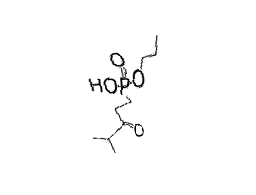 CCCOP(=O)(O)CCC(=O)C(C)C